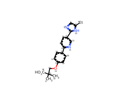 CCc1cnc(-c2ccc(-c3ccc(OCC(C)(C)C(=O)O)cc3)nc2)[nH]1